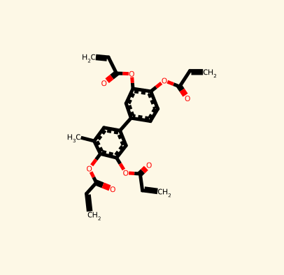 C=CC(=O)Oc1ccc(-c2cc(C)c(OC(=O)C=C)c(OC(=O)C=C)c2)cc1OC(=O)C=C